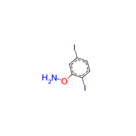 NOc1cc(I)ccc1I